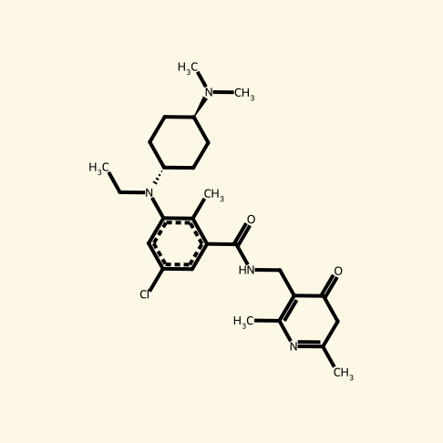 CCN(c1cc(Cl)cc(C(=O)NCC2=C(C)N=C(C)CC2=O)c1C)[C@H]1CC[C@H](N(C)C)CC1